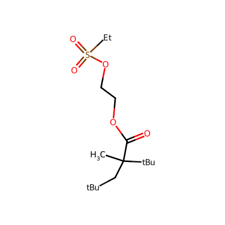 CCS(=O)(=O)OCCOC(=O)C(C)(CC(C)(C)C)C(C)(C)C